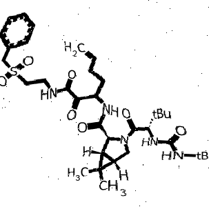 C=CCCC(NC(=O)[C@@H]1[C@@H]2[C@H](CN1C(=O)[C@@H](NC(=O)NC(C)(C)C)C(C)(C)C)C2(C)C)C(=O)C(=O)NCCS(=O)(=O)Cc1ccccc1